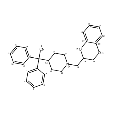 N#CC(c1ccccc1)(c1ccccc1)C1CCN(CC2COc3ccccc3O2)CC1